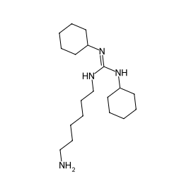 NCCCCCCN/C(=N\C1CCCCC1)NC1CCCCC1